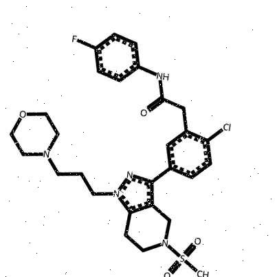 CS(=O)(=O)N1CCc2c(c(-c3ccc(Cl)c(CC(=O)Nc4ccc(F)cc4)c3)nn2CCCN2CCOCC2)C1